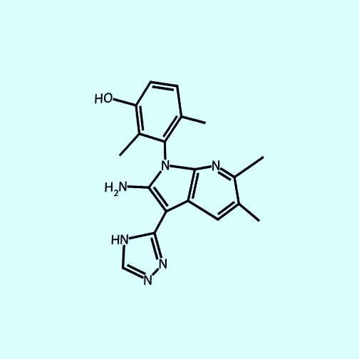 Cc1cc2c(-c3nnc[nH]3)c(N)n(-c3c(C)ccc(O)c3C)c2nc1C